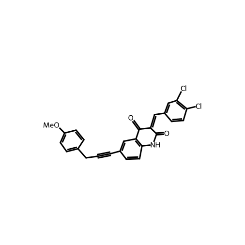 COc1ccc(CC#Cc2ccc3c(c2)C(=O)/C(=C/c2ccc(Cl)c(Cl)c2)C(=O)N3)cc1